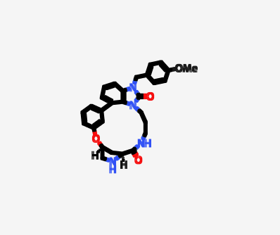 COc1ccc(Cn2c(=O)n3c4c(cccc42)-c2cccc(c2)O[C@@H]2CN[C@@H](C2)C(=O)NCCC3)cc1